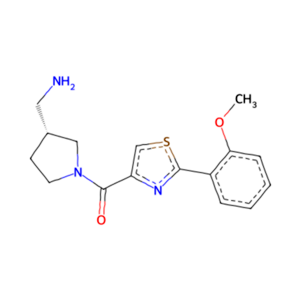 COc1ccccc1-c1nc(C(=O)N2CC[C@H](CN)C2)cs1